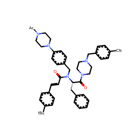 CC(=O)N1CCN(c2ccc(CN(C(=O)C=Cc3ccc(C(C)(C)C)cc3)[C@@H](Cc3ccccc3)C(=O)N3CCN(Cc4ccc(C#N)cc4)CC3)cc2)CC1